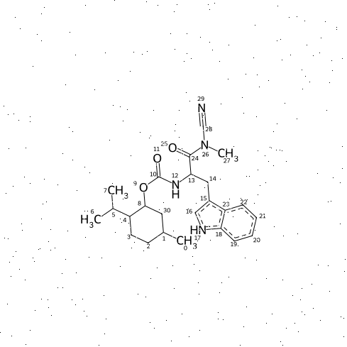 CC1CCC(C(C)C)C(OC(=O)NC(Cc2c[nH]c3ccccc23)C(=O)N(C)C#N)C1